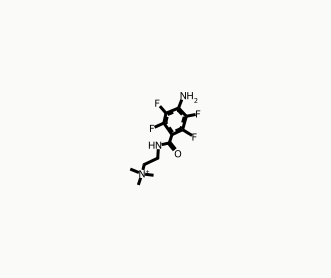 C[N+](C)(C)CCNC(=O)c1c(F)c(F)c(N)c(F)c1F